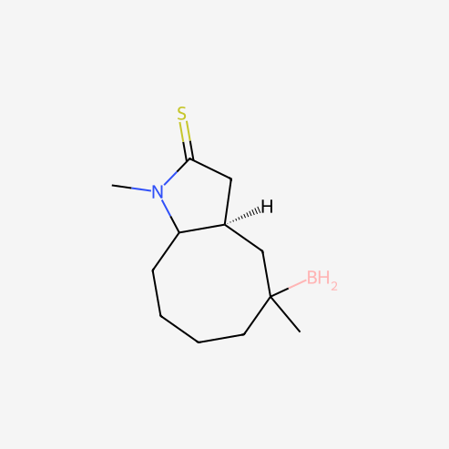 BC1(C)CCCCC2[C@@H](CC(=S)N2C)C1